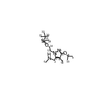 CNCc1c(I)c(OC(C)C)nn1CCO[Si](C)(C)C(C)(C)C